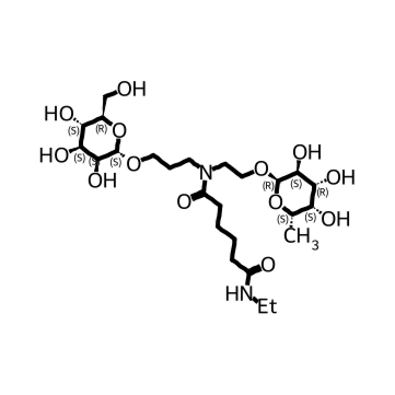 CCNC(=O)CCCCC(=O)N(CCCO[C@H]1O[C@H](CO)[C@@H](O)[C@H](O)[C@@H]1O)CCO[C@@H]1O[C@@H](C)[C@@H](O)[C@@H](O)[C@@H]1O